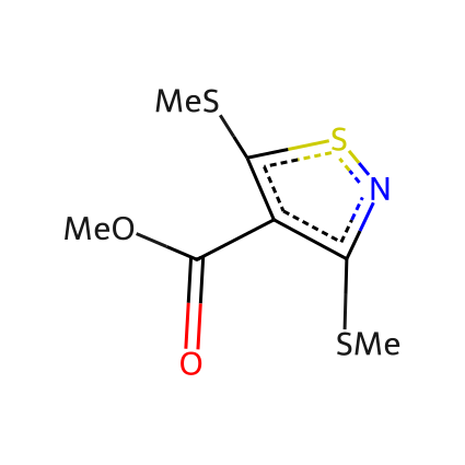 COC(=O)c1c(SC)nsc1SC